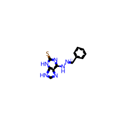 S=c1nc(N/N=C/c2ccccc2)c2nc[nH]c2[nH]1